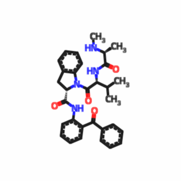 CN[C@@H](C)C(=O)N[C@H](C(=O)N1c2ccccc2C[C@H]1C(=O)Nc1ccccc1C(=O)c1ccccc1)C(C)C